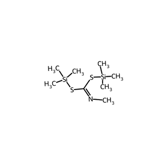 CN=C(S[Si](C)(C)C)S[Si](C)(C)C